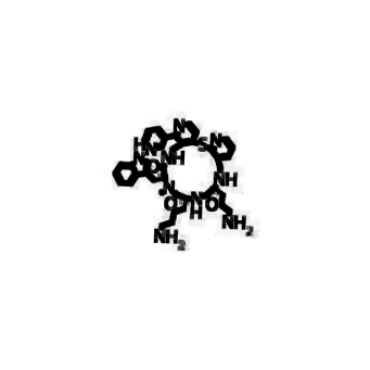 CN1C(=O)[C@H](CCCCN)NC(=O)[C@H](CCCN)NCc2cccnc2Sc2ccnc(-c3cccnc3)c2CNC(=O)[C@@H]1Cc1c[nH]c2ccccc12